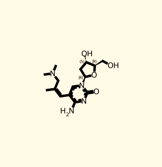 CC(=Cc1cn([C@H]2C[C@H](O)[C@@H](CO)O2)c(=O)nc1N)CN(C)C